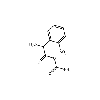 CC(C(=O)OC(N)=O)c1ccccc1[N+](=O)[O-]